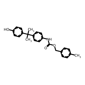 Cc1ccc(COC(=O)Nc2ccc(C(C)(C)c3ccc(O)cc3)cc2)cc1